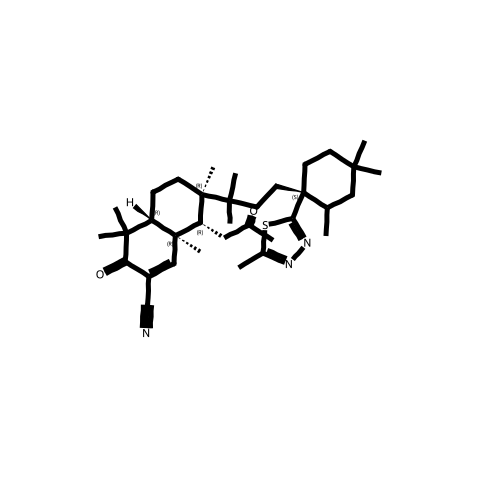 CC(=O)C[C@@H]1[C@@]2(C)C=C(C#N)C(=O)C(C)(C)[C@@H]2CC[C@@]1(C)C(C)(C)CC[C@@]1(c2nnc(C)s2)CCC(C)(C)CC1C